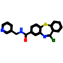 O=C(NCc1cccnc1)c1ccc2c(c1)N=C(Cl)c1ccccc1S2